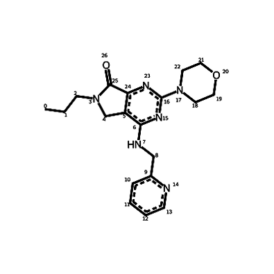 CCCN1Cc2c(NCc3ccccn3)nc(N3CCOCC3)nc2C1=O